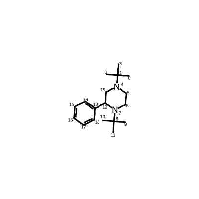 CC(C)(C)N1CCN(C(C)(C)C)C(c2ccccc2)C1